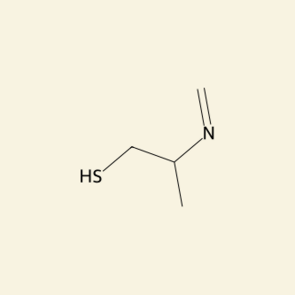 C=NC(C)CS